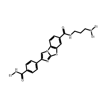 CCNC(=O)c1ccc(-c2cn3c(n2)sc2cc(C(=O)NCCCN(CC)CC)ccc23)cc1